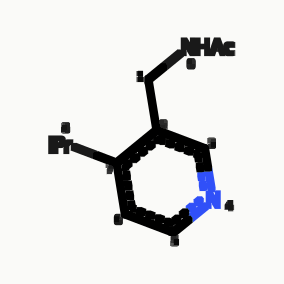 CC(=O)NCc1cnccc1C(C)C